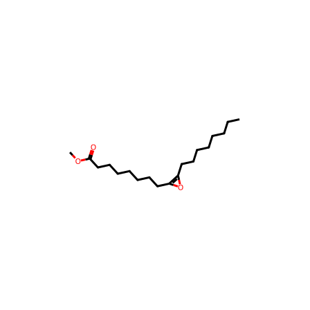 CCCCCCCCC1=C(CCCCCCCC(=O)OC)O1